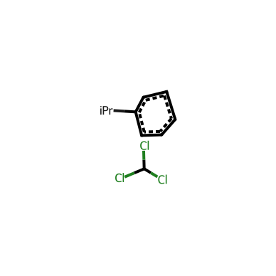 CC(C)c1ccccc1.ClC(Cl)Cl